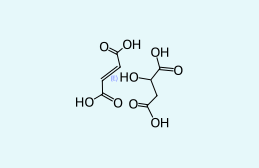 O=C(O)/C=C/C(=O)O.O=C(O)CC(O)C(=O)O